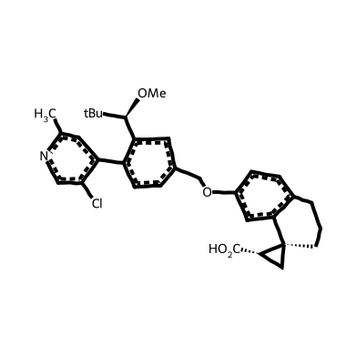 CO[C@@H](c1cc(COc2ccc3c(c2)[C@@]2(CCC3)C[C@@H]2C(=O)O)ccc1-c1cc(C)ncc1Cl)C(C)(C)C